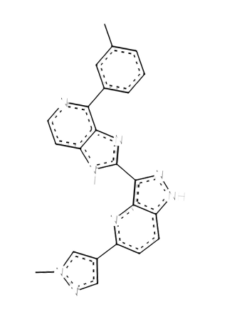 Cc1cccc(-c2nccc3[nH]c(-c4n[nH]c5ccc(-c6cnn(C)c6)nc45)nc23)c1